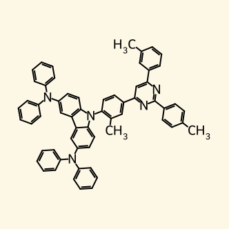 Cc1ccc(-c2nc(-c3cccc(C)c3)cc(-c3ccc(-n4c5ccc(N(c6ccccc6)c6ccccc6)cc5c5cc(N(c6ccccc6)c6ccccc6)ccc54)c(C)c3)n2)cc1